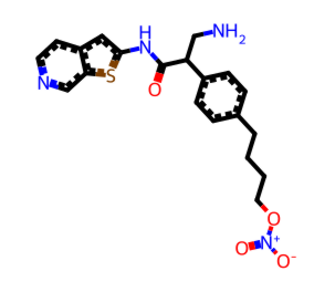 NCC(C(=O)Nc1cc2ccncc2s1)c1ccc(CCCCO[N+](=O)[O-])cc1